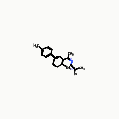 CC/C(C)=C/N=C(/C)C1=C(C)CCC(c2ccc(C)cc2)=C1